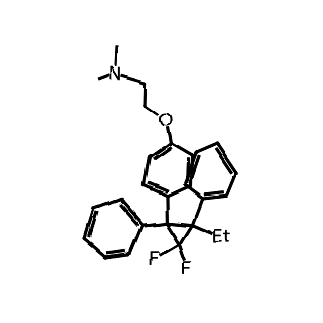 CCC1(c2ccccc2)C(F)(F)C1(c1ccccc1)c1ccc(OCCN(C)C)cc1